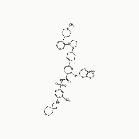 CN1CC=C(c2ccccc2[C@H]2CCCN2C2CC=C(c3ccc(C(=O)NS(=O)(=O)c4ccc(NCC5(F)CCOCC5)c([N+](=O)[O-])c4)c(Oc4cnc5[nH]ccc5c4)c3)CC2)CC1